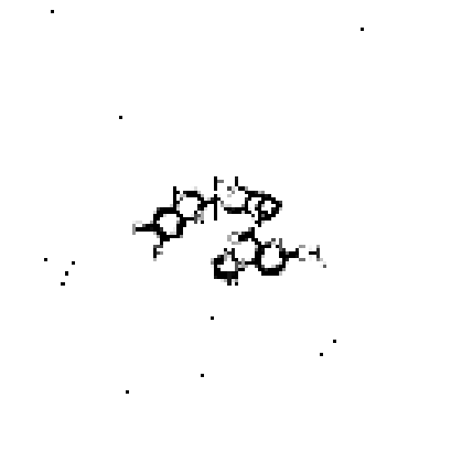 Cc1ccc(-n2nccn2)c(C(=O)N2C3CC(C3)C(C)C2CNc2cnc3cc(F)c(F)cc3n2)n1